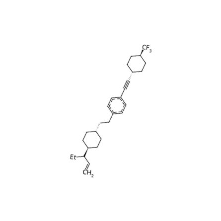 C=CC(CC)[C@H]1CC[C@H](CCc2ccc(C#C[C@H]3CC[C@H](C(F)(F)F)CC3)cc2)CC1